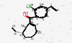 C=Cc1ccc(C(=O)C2=CCCC[C@H](CC)C2)c(Cl)c1